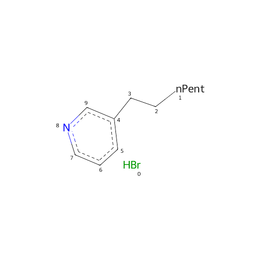 Br.CCCCCCCc1cccnc1